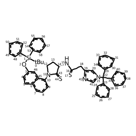 CC(C)(C)[Si](Oc1ccc2cccc(N3CC[C@H](NC(=S)Cc4cn(C(c5ccccc5)(c5ccccc5)c5ccccc5)cn4)C3=S)c2c1)(c1ccccc1)c1ccccc1